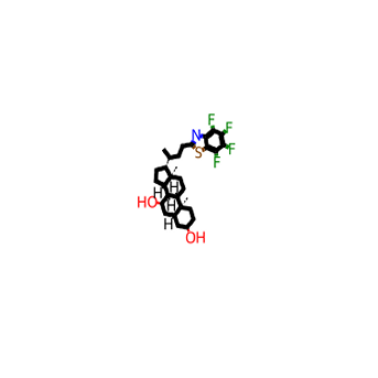 CC(CCc1nc2c(F)c(F)c(F)c(F)c2s1)[C@H]1CC[C@H]2[C@@H]3[C@H](O)C[C@@H]4C[C@H](O)CC[C@]4(C)[C@H]3CC[C@]12C